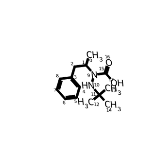 CC(Cc1ccccc1)N(NC(C)(C)C)C(=O)O